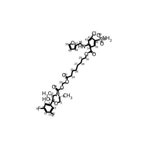 C[C@@H]1CO[C@@](O)(c2cc(F)cc(F)c2)[C@H](C)N1C(=O)OCOC(=O)CCCCCCCOC(=O)c1cc(S(N)(=O)=O)c(Cl)cc1NCc1ccco1